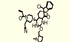 C=CC(=O)N1CCN(C2NC(OCC3CCCN3C)NC3C(=O)[C@@]4(CCC32)Sc2ccccc2C4Cl)CC1CC#N